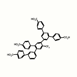 O=C(O)c1ccc(-c2cccc(-c3cc(C(F)(F)F)c(-c4cc(-c5ccc(C(=O)O)cc5)cc(-c5ccc(C(=O)O)cc5)c4)cc3-c3ccc(C(=O)O)cc3)c2)cc1